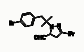 CC(C)C1=NN(C(C)(C)Cc2ccc(Br)cc2)C(C=O)C1